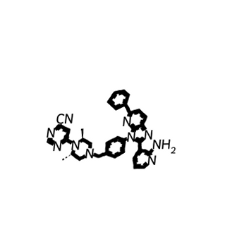 C[C@H]1CN(Cc2ccc(-n3c(-c4cccnc4N)nc4ccc(-c5ccccc5)nc43)cc2)C[C@H](C)N1c1cc(C#N)ncn1